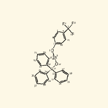 FC(F)(F)c1ccc([O][Zn][O][Si](c2ccccc2)(c2ccccc2)c2ccccc2)cc1